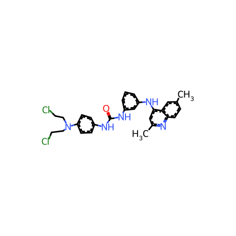 Cc1ccc2nc(C)cc(Nc3cccc(NC(=O)Nc4ccc(N(CCCl)CCCl)cc4)c3)c2c1